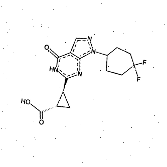 O=C(O)[C@H]1C[C@@H]1c1nc2c(cnn2C2CCC(F)(F)CC2)c(=O)[nH]1